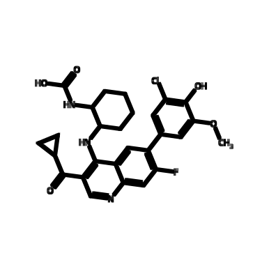 COc1cc(-c2cc3c(NC4CCCCC4NC(=O)O)c(C(=O)C4CC4)cnc3cc2F)cc(Cl)c1O